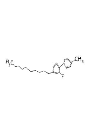 CCCCCCCCCCc1ccc(-c2ccc(C)cc2)c(F)c1